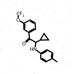 Cc1ccc(NC(C(=O)c2cccc(OC(F)(F)F)c2)C2CC2)cc1